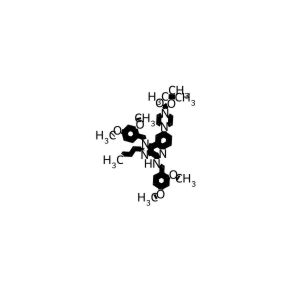 CCCCc1nc2c(NCc3ccc(OC)cc3OC)nc3ccc(N4CCN(C(=O)OC(C)(C)C)CC4)cc3c2n1Cc1ccc(OC)cc1OC